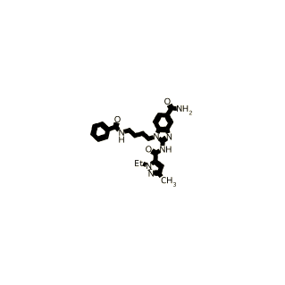 CCn1nc(C)cc1C(=O)Nc1nc2cc(C(N)=O)ccc2n1CCCCNC(=O)c1ccccc1